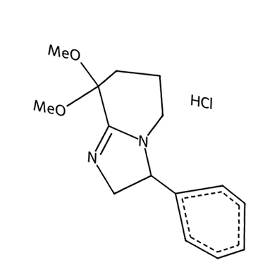 COC1(OC)CCCN2C1=NCC2c1ccccc1.Cl